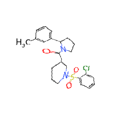 Cc1cccc(C2CCCN2C(=O)C2CCCN(S(=O)(=O)c3ccccc3Cl)C2)c1